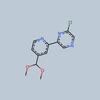 COC(OC)c1ccnc(-c2cncc(Cl)n2)c1